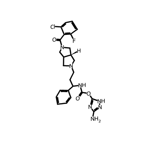 Nc1n[nH]c(OC(=O)NC(CCN2CC3CN(C(=O)c4c(F)cccc4Cl)C[C@@H]3C2)c2ccccc2)n1